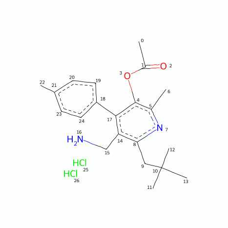 CC(=O)Oc1c(C)nc(CC(C)(C)C)c(CN)c1-c1ccc(C)cc1.Cl.Cl